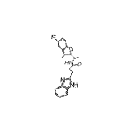 Cc1c(C(C)NC(=O)CCc2nc3ccccc3[nH]2)oc2ccc(F)cc12